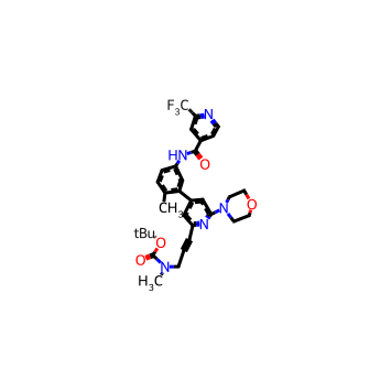 Cc1ccc(NC(=O)c2ccnc(C(F)(F)F)c2)cc1-c1cc(C#CCN(C)C(=O)OC(C)(C)C)nc(N2CCOCC2)c1